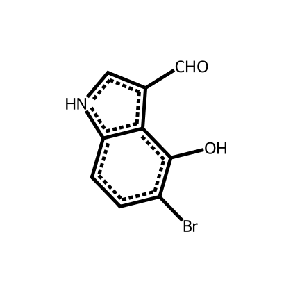 O=Cc1c[nH]c2ccc(Br)c(O)c12